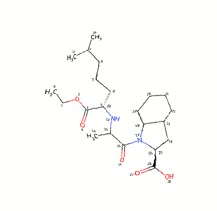 CCOC(=O)[C@H](CCCC(C)C)NC(C)C(=O)N1C2CCCCC2C[C@H]1C(=O)O